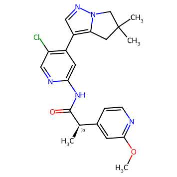 COc1cc([C@@H](C)C(=O)Nc2cc(-c3cnn4c3CC(C)(C)C4)c(Cl)cn2)ccn1